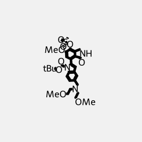 COCCN(CCOC)Cc1ccc2c(c1)cc(-c1cc(OC)c(OS(C)(=O)=O)c3c1C(=O)NC3)n2C(=O)OC(C)(C)C